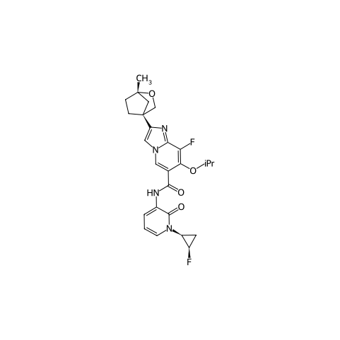 CC(C)Oc1c(C(=O)Nc2cccn([C@H]3C[C@H]3F)c2=O)cn2cc([C@@]34CC[C@@](C)(C3)OC4)nc2c1F